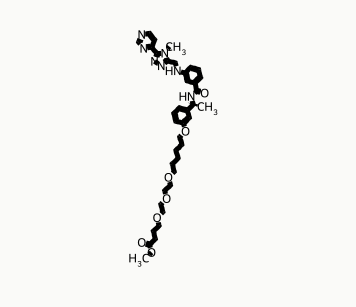 COC(=O)CCCOCCOCCOCCCCCCOc1cccc([C@H](C)NC(=O)c2cccc(NCc3nnc(-c4ccncn4)n3C)c2)c1